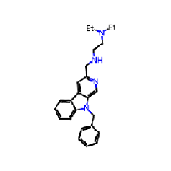 CCN(CC)CCNCc1cc2c3ccccc3n(Cc3ccccc3)c2cn1